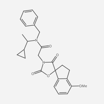 COc1cccc2c1CCC21OC(=O)N(CC(=O)N(Cc2ccccc2)C(C)C2CC2)C1=O